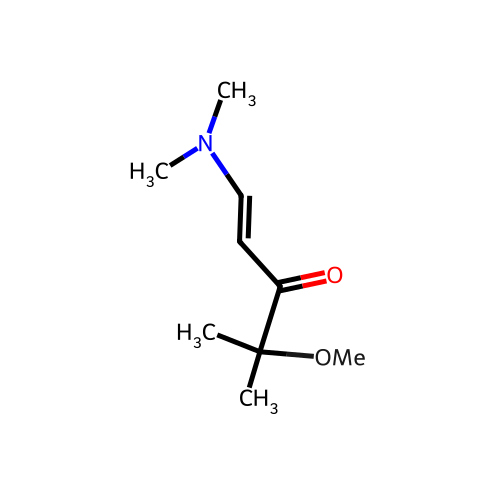 COC(C)(C)C(=O)/C=C/N(C)C